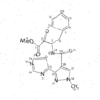 COC(=O)C(=O)C(Cc1ccccc1)NC(=O)c1cn(C)nc1-c1ccncn1